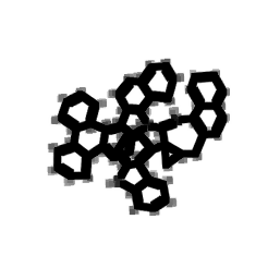 c1ccc2c3c(ccc2c1)CC1CC1(c1cccc2sc4ccccc4c12)C(n1c2ccc4c5ccccc5c5ccccc5c4c2c2ccc4ccccc4c21)=N3